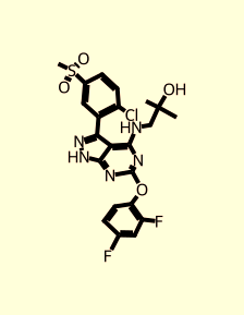 CC(C)(O)CNc1nc(Oc2ccc(F)cc2F)nc2[nH]nc(-c3cc(S(C)(=O)=O)ccc3Cl)c12